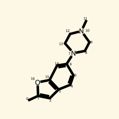 Cc1cc2ccc(N3CCN(C)CC3)cc2o1